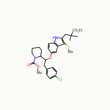 CCOC(=O)C(C)(C)Cc1[nH]c2ccc(OC(Cc3ccc(Cl)cc3)C3CCCCN3C(=O)OC(C)(C)C)cc2c1SC(C)(C)C